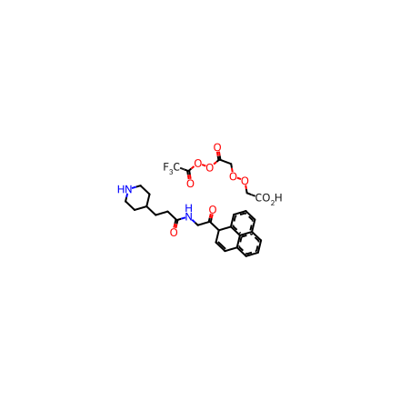 O=C(CCC1CCNCC1)NCC(=O)C1C=Cc2cccc3cccc1c23.O=C(O)COOCC(=O)OOC(=O)C(F)(F)F